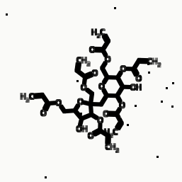 C=CC(=O)OCC1OC(COC(=O)C=C)(CC2OC(COC(=O)C=C)C(OC(=O)C=C)C(O)C2OC(=O)C=C)C(OC(=O)C=C)C1O